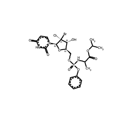 CC(C)OC(=O)C(C)NP(=O)(OC[C@H]1O[C@@H](n2ccc(=O)[nH]c2=O)[C@@](Cl)(Br)[C@@H]1O)Oc1ccccc1